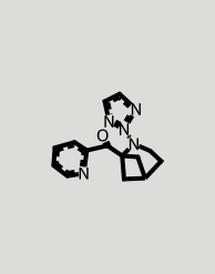 O=C(c1ccccn1)C12CC(CCN1n1nccn1)C2